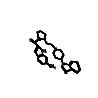 Cc1ccc2cc(C(=O)N3CCC[C@H]3CCN3CCC(n4cnc5ccccc54)CC3)[nH]c2c1